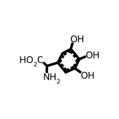 NC(C(=O)O)c1cc(O)c(O)c(O)c1